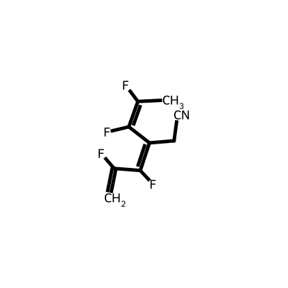 C=C(F)/C(F)=C(CC#N)\C(F)=C(/C)F